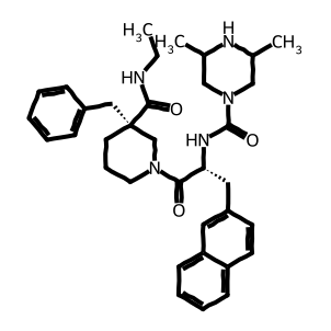 CCNC(=O)[C@]1(Cc2ccccc2)CCCN(C(=O)[C@@H](Cc2ccc3ccccc3c2)NC(=O)N2CC(C)NC(C)C2)C1